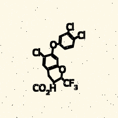 O=C(O)C1Cc2cc(Cl)c(Oc3ccc(Cl)c(Cl)c3)cc2OC1C(F)(F)F